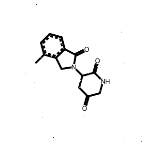 Cc1cccc2c1CN(C1CC(=O)CNC1=O)C2=O